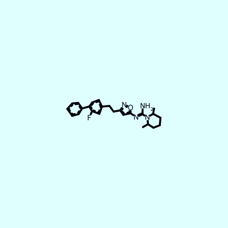 CC1CCCC(C)N1C(N)=Nc1cc(CCc2ccc(-c3ccccc3)c(F)c2)no1